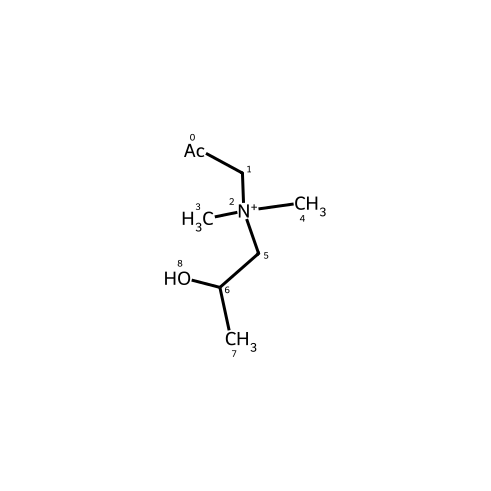 CC(=O)C[N+](C)(C)CC(C)O